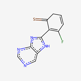 FC1=C(c2nc3ncncc3[nH]2)C(=S)CC=C1